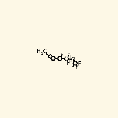 CCCC1Cc2ccc(C3=CC=C(C4=CC(F)=C(C(F)(F)Oc5cc(F)c(F)c(F)c5)C(F)C4)C(F)C3)cc2C1